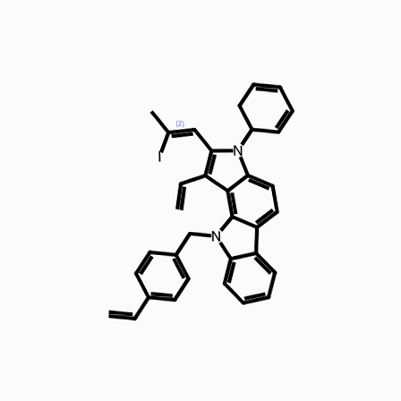 C=Cc1ccc(Cn2c3ccccc3c3ccc4c(c(C=C)c(/C=C(/C)I)n4C4C=CC=CC4)c32)cc1